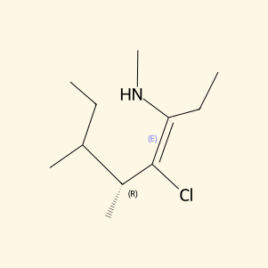 CC/C(NC)=C(\Cl)[C@H](C)C(C)CC